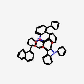 c1ccc(-c2ccccc2-c2c(-c3ccccc3)cccc2N(c2cccc(-c3cccc4ccccc34)c2)c2ccc3c(c2)c2ccccc2n3-c2ccccc2)cc1